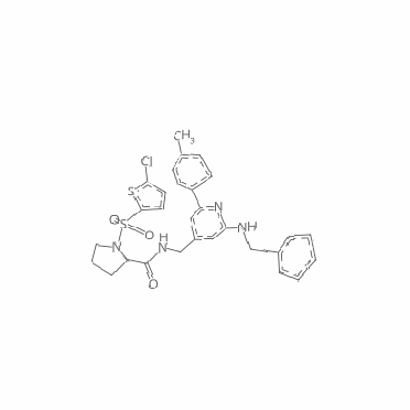 Cc1ccc(-c2cc(CNC(=O)C3CCCN3S(=O)(=O)c3ccc(Cl)s3)cc(NCc3ccccc3)n2)cc1